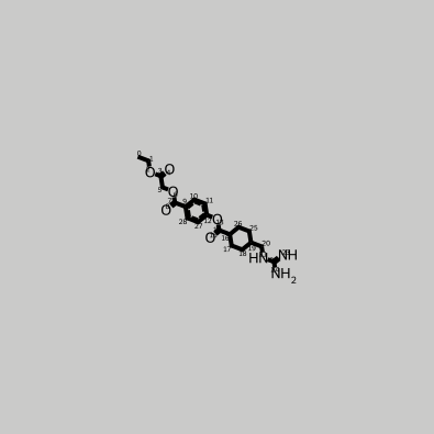 CCOC(=O)COC(=O)c1ccc(OC(=O)C2CCC(CNC(=N)N)CC2)cc1